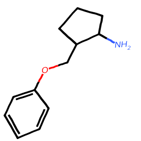 NC1CCCC1COc1ccccc1